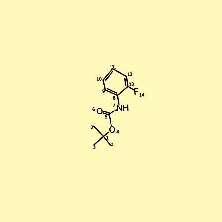 CC(C)(C)OC(=O)Nc1cc[c]cc1F